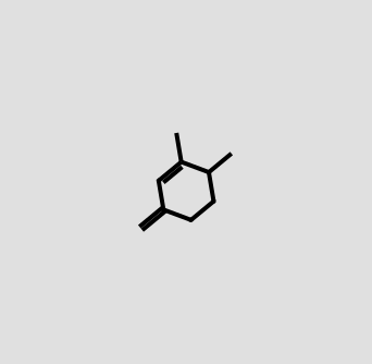 C=C1C=C(C)C(C)CC1